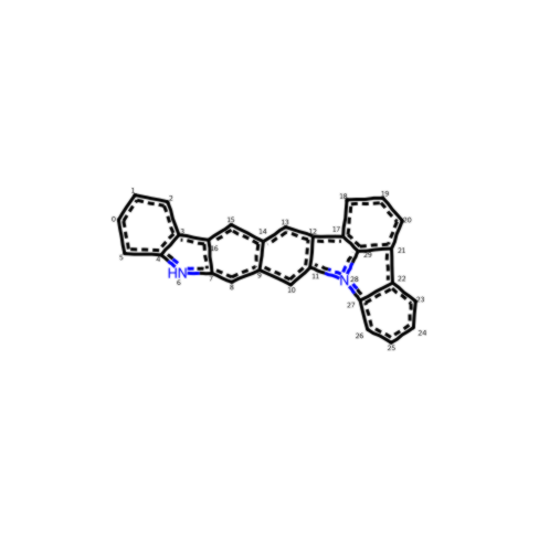 c1ccc2c(c1)[nH]c1cc3cc4c(cc3cc12)c1cccc2c3ccccc3n4c21